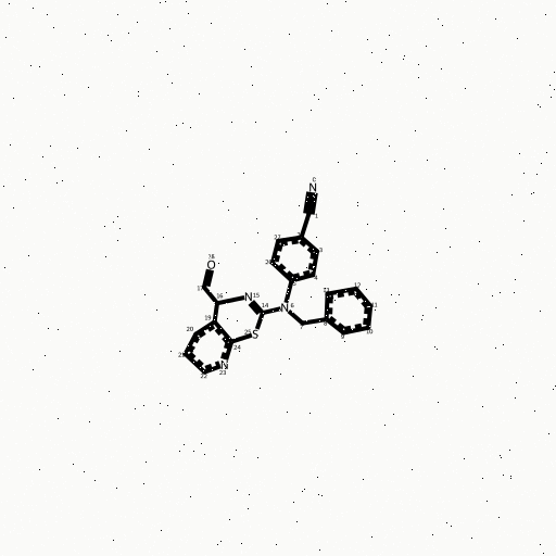 N#Cc1ccc(N(Cc2ccccc2)C2=NC(C=O)c3cccnc3S2)cc1